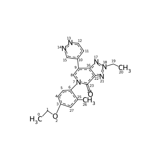 CCOc1ccc(-n2cc(-c3ccnnc3)c3nn(CC)nc3c2=O)c(C)c1